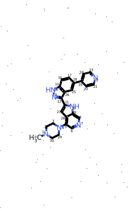 CN1CCN(c2cncc3[nH]c(-c4n[nH]c5ccc(-c6ccncc6)cc45)cc23)CC1